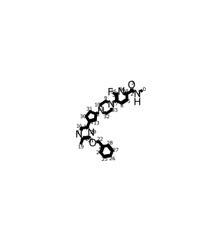 CNC(=O)c1ccc(N2CCN(C3C=C(c4cnc(C)c(OCc5ccccc5)n4)CC3)CC2)c(F)n1